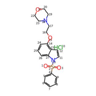 Cl.O=S(=O)(c1ccccc1)n1ccc2c(OCCN3CCOCC3)cccc21